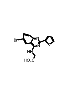 O=C(O)CNc1nc(-c2cccs2)nc2ccc(Br)cc12